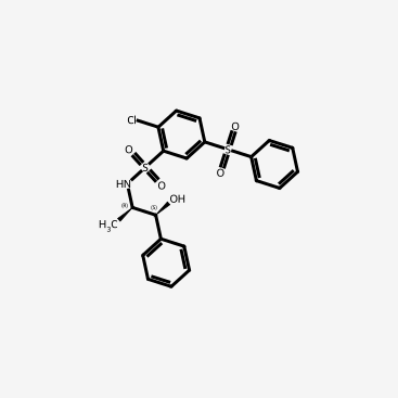 C[C@@H](NS(=O)(=O)c1cc(S(=O)(=O)c2ccccc2)ccc1Cl)[C@@H](O)c1ccccc1